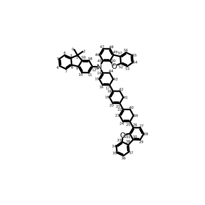 CC1(C)c2ccccc2-c2ccc(N(C3=CC=C(C4=CC=C(C5=CC=C(c6cccc7c6oc6ccccc67)CC5)CC4)CC3)c3cccc4c3oc3ccccc34)cc21